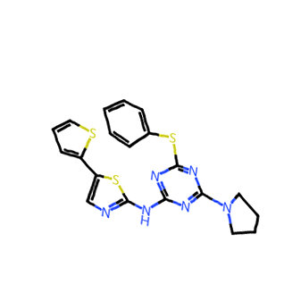 c1ccc(Sc2nc(Nc3ncc(-c4cccs4)s3)nc(N3CCCC3)n2)cc1